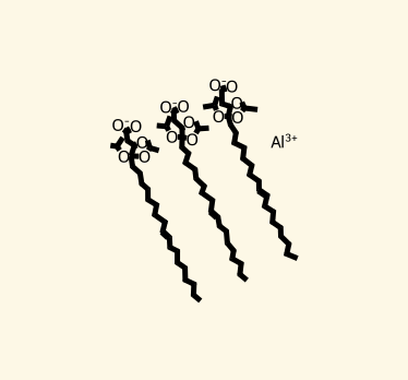 CCCCCCCCC=CCCCCCCCCC(OC(C)C)(OC(C)C)C(=O)CC(=O)[O-].CCCCCCCCC=CCCCCCCCCC(OC(C)C)(OC(C)C)C(=O)CC(=O)[O-].CCCCCCCCC=CCCCCCCCCC(OC(C)C)(OC(C)C)C(=O)CC(=O)[O-].[Al+3]